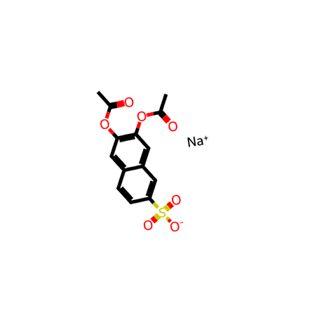 CC(=O)Oc1cc2ccc(S(=O)(=O)[O-])cc2cc1OC(C)=O.[Na+]